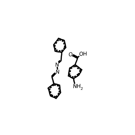 C(=N\N=C\c1ccccc1)/c1ccccc1.Nc1ccc(C(=O)O)cc1